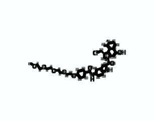 COCCOCCOCCOCCOc1ccc(C(=O)Nc2ccc3[nH]c(C(=O)N4C[C@@H](CCl)c5c4cc(O)c4cccc(C)c54)cc3c2)cc1